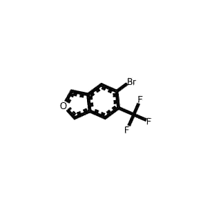 FC(F)(F)c1cc2cocc2cc1Br